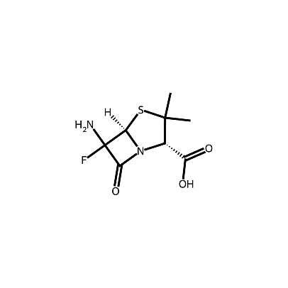 CC1(C)S[C@H]2N(C(=O)C2(N)F)[C@H]1C(=O)O